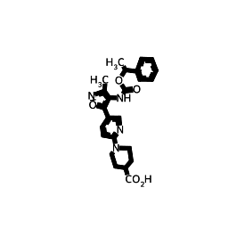 Cc1noc(-c2ccc(N3CCC(C(=O)O)CC3)nc2)c1NC(=O)OC(C)c1ccccc1